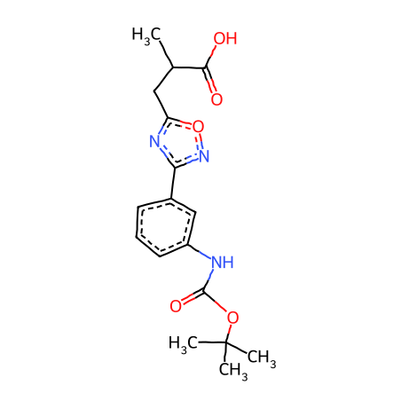 CC(Cc1nc(-c2cccc(NC(=O)OC(C)(C)C)c2)no1)C(=O)O